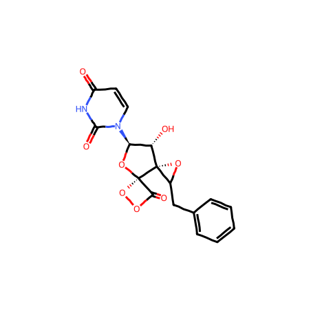 O=C1OO[C@@]12O[C@@H](n1ccc(=O)[nH]c1=O)[C@H](O)[C@]21OC1Cc1ccccc1